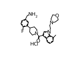 Cc1cccc2c(C(=O)N3CCC(c4cc(CN)ccc4F)CC3)cn(CCN3CCOCC3)c12.Cl